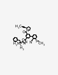 CC#CC1CCCN1C(=O)c1cc(-c2nnc([C@](C)(N)Cc3ccccc3)o2)cc(-c2cccc(SCC)c2C#N)c1